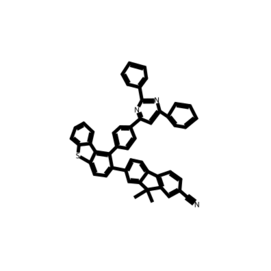 CC1(C)c2cc(C#N)ccc2-c2ccc(-c3ccc4sc5ccccc5c4c3-c3ccc(-c4cc(-c5ccccc5)nc(-c5ccccc5)n4)cc3)cc21